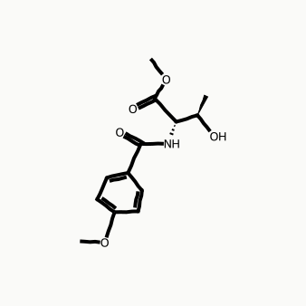 COC(=O)[C@@H](NC(=O)c1ccc(OC)cc1)[C@@H](C)O